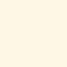 CC(=O)Oc1ccc(-c2cccc(C=O)c2)cc1